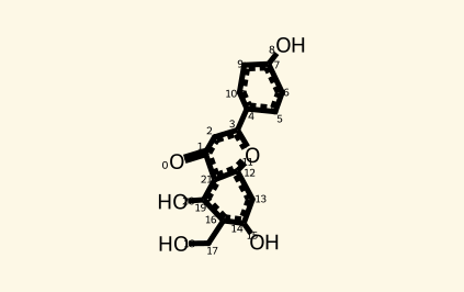 O=c1cc(-c2ccc(O)cc2)oc2cc(O)c(CO)c(O)c12